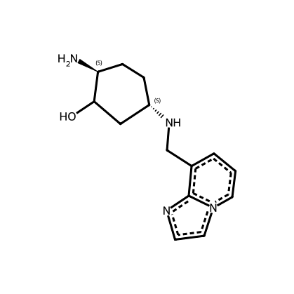 N[C@H]1CC[C@H](NCc2cccn3ccnc23)CC1O